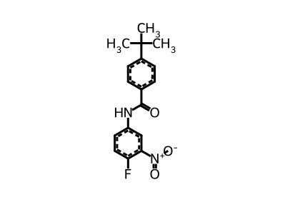 CC(C)(C)c1ccc(C(=O)Nc2ccc(F)c([N+](=O)[O-])c2)cc1